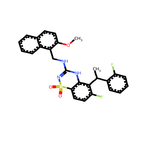 COc1ccc2ccccc2c1CNC1=NS(=O)(=O)c2ccc(F)c(C(C)c3ccccc3F)c2N1